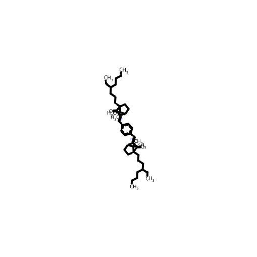 CCCCC(CC)CCCC12CCC(/C(=C\c3ccc(/C=C4/C(=O)C5(CCCC(CC)CCCC)CCC4C5(C)C)cc3)C1=O)C2(C)C